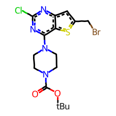 CC(C)(C)OC(=O)N1CCN(c2nc(Cl)nc3cc(CBr)sc23)CC1